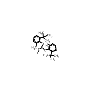 Cc1cccc(C(C)(C)C)c1OP(OF)Oc1c(C)cccc1C(C)(C)C